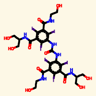 O=C(Nc1c(I)c(C(=O)NCCO)c(I)c(C(=O)NC(CO)CO)c1I)Nc1c(I)c(C(=O)NCCO)c(I)c(C(=O)NC(CO)CO)c1I